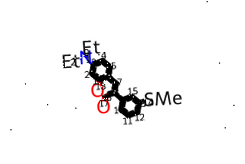 CCN(CC)c1ccc2cc(-c3cccc(SC)c3)c(=O)oc2c1